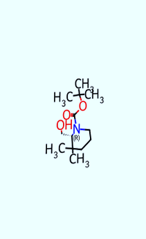 CC(C)(C)OC(=O)N1CCCC(C)(C)[C@@H]1CO